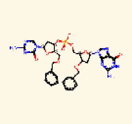 Nc1ncn([C@H]2C[C@@H](OP(=O)(O)OC[C@H]3O[C@@H](n4cnc5c(=O)[nH]c(N)nc54)CC3OCc3ccccc3)[C@@H](COCc3ccccc3)O2)c(=O)n1